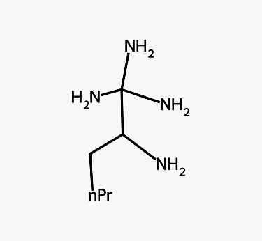 CCCCC(N)C(N)(N)N